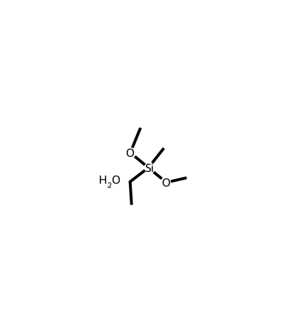 CC[Si](C)(OC)OC.O